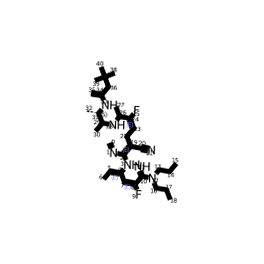 C=N/C(NC(=C/C)/C=C(/F)C(=N)N(CCC)CCC)=C(/C#N)C/C=C(/F)C(C)NC(C)[C@H](C)NC(=C)CC(C)(C)C